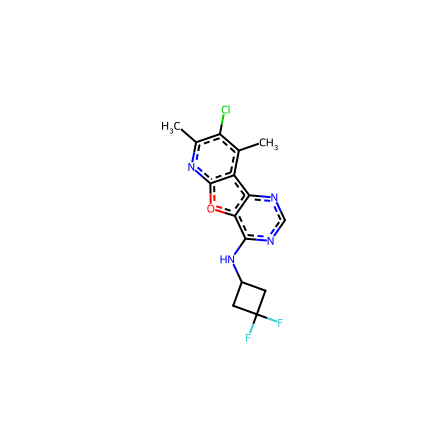 Cc1nc2oc3c(NC4CC(F)(F)C4)ncnc3c2c(C)c1Cl